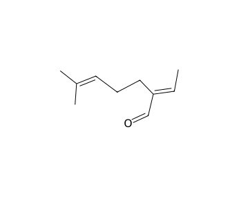 C/C=C(/C=O)CCC=C(C)C